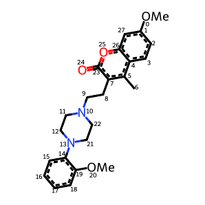 COc1ccc2c(C)c(CCN3CCN(c4ccccc4OC)CC3)c(=O)oc2c1